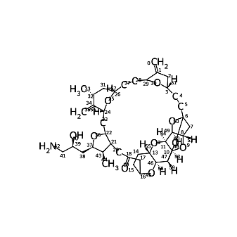 C=C1C[C@@H]2CCC34C[C@@H]5O[C@@H]6[C@@H](O[C@H]7CCC(CC(=O)CC8C(C[C@H]9O[C@@H](CCC1O2)C[C@@H](C)C9=C)O[C@H](C[C@H](O)CN)[C@@H]8C)O[C@@H]7[C@@H]6O3)[C@H]5O4